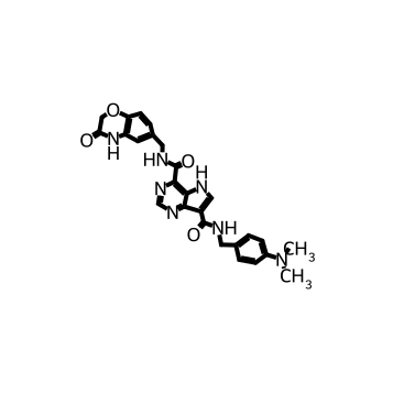 CN(C)c1ccc(CNC(=O)c2c[nH]c3c(C(=O)NCc4ccc5c(c4)NC(=O)CO5)ncnc23)cc1